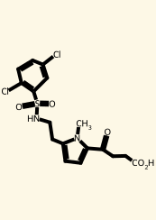 Cn1c(CCNS(=O)(=O)c2cc(Cl)ccc2Cl)ccc1C(=O)CCC(=O)O